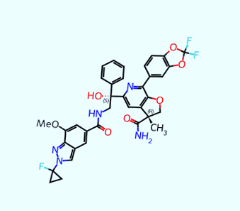 COc1cc(C(=O)NC[C@@](O)(c2ccccc2)c2cc3c(c(-c4ccc5c(c4)OC(F)(F)O5)n2)OC[C@]3(C)C(N)=O)cc2cn(C3(F)CC3)nc12